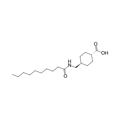 CCCCCCCCCC(=O)NC[C@H]1CC[C@H](C(=O)O)CC1